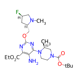 CCOC(=O)c1nc(OC[C@@H]2C[C@@H](F)CN2C)nc(N2CCN(C(=O)OC(C)(C)C)C[C@@H]2C)c1N